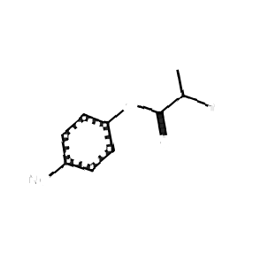 CC(C)C(C)C(=O)Oc1ccc(C#N)cc1